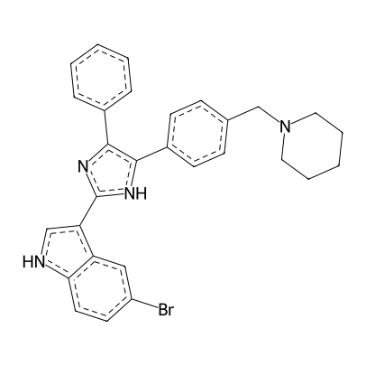 Brc1ccc2[nH]cc(-c3nc(-c4ccccc4)c(-c4ccc(CN5CCCCC5)cc4)[nH]3)c2c1